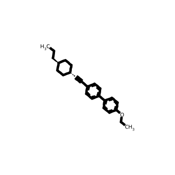 CCC[C@H]1CC[C@H](C#Cc2ccc(-c3ccc(OCC)cc3)cc2)CC1